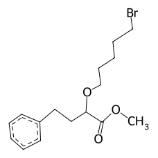 COC(=O)C(CCc1ccccc1)OCCCCCBr